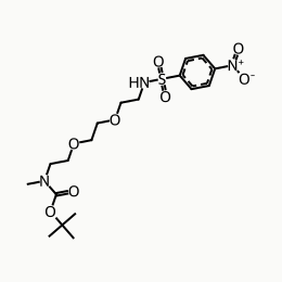 CN(CCOCCOCCNS(=O)(=O)c1ccc([N+](=O)[O-])cc1)C(=O)OC(C)(C)C